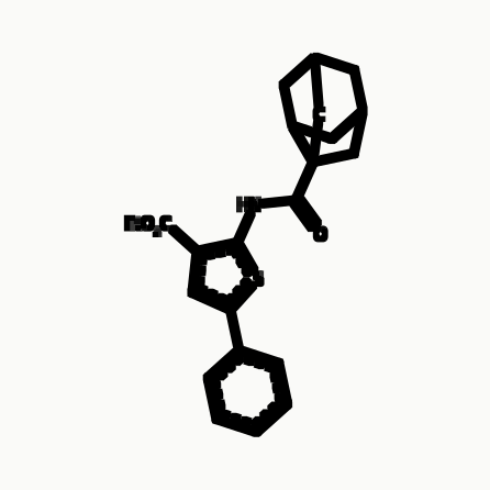 CCOC(=O)c1cc(-c2ccccc2)sc1NC(=O)C12CC3CC(CC1C3)C2